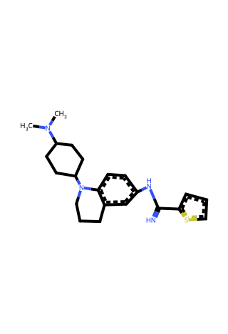 CN(C)C1CCC(N2CCCc3cc(NC(=N)c4cccs4)ccc32)CC1